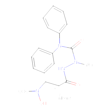 CCCCC[C@H](CN(O)C=O)C(=O)NN(CCCC)C(=O)N(c1ccccc1)c1ccccc1